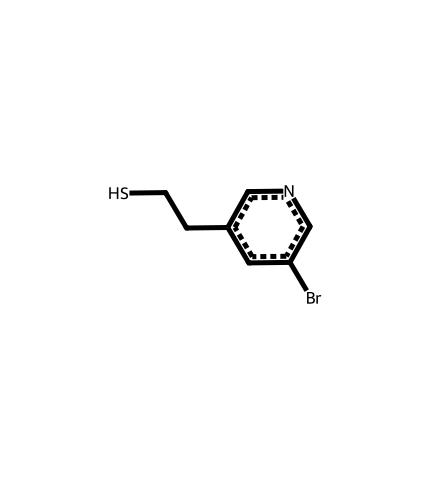 SCCc1cncc(Br)c1